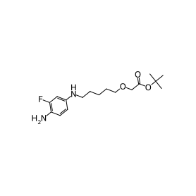 CC(C)(C)OC(=O)COCCCCCNc1ccc(N)c(F)c1